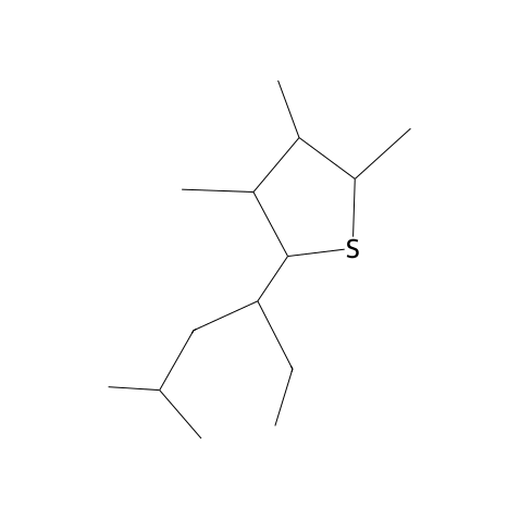 CCC(CC(C)C)C1SC(C)C(C)C1C